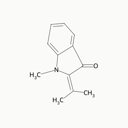 CC(C)=C1C(=O)c2ccccc2N1C